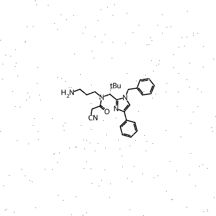 CC(C)(C)[C@H](c1nc(-c2ccccc2)cn1Cc1ccccc1)N(CCCN)C(=O)CC#N